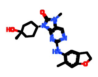 Cc1cc2c(cc1Nc1ncc3c(n1)n([C@H]1CC[C@@](C)(O)CC1)c(=O)n3C)CCO2